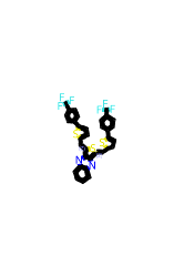 FC(F)(F)c1ccc(C2=CCC(/C=c3\s/c(=C\c4ccc(-c5ccc(C(F)(F)F)cc5)s4)c4nc5ccccc5nc34)S2)cc1